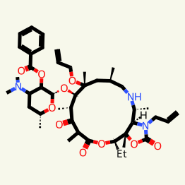 C=CCO[C@]1(C)C[C@@H](C)CN[C@H](C)[C@H]2N(CC=C)C(=O)O[C@]2(C)[C@@H](CC)OC(=O)C(C)C(=O)[C@H](C)[C@H]1O[C@@H]1O[C@H](C)CC(N(C)C)C1OC(=O)c1ccccc1